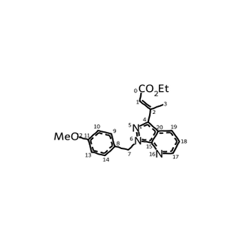 CCOC(=O)/C=C(\C)c1nn(Cc2ccc(OC)cc2)c2ncccc12